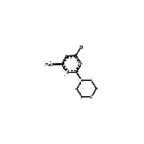 COc1cc(Cl)nc(N2CCOCC2)n1